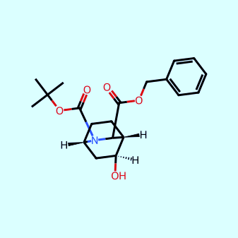 CC(C)(C)OC(=O)N1C(C(=O)OCc2ccccc2)[C@@H]2CC[C@H]1C[C@@H]2O